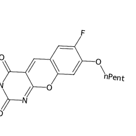 CCCCCOc1cc2oc3nc(=O)[nH]c(=O)c-3cc2cc1F